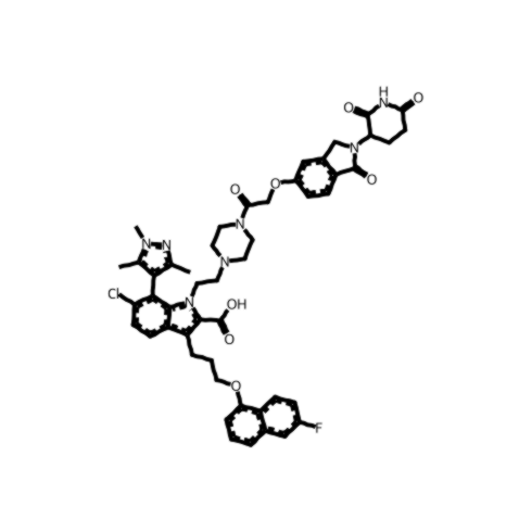 Cc1nn(C)c(C)c1-c1c(Cl)ccc2c(CCCOc3cccc4cc(F)ccc34)c(C(=O)O)n(CCN3CCN(C(=O)COc4ccc5c(c4)CN(C4CCC(=O)NC4=O)C5=O)CC3)c12